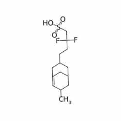 CC1C=C2CC(CCC(F)(F)CS(=O)(=O)O)CC(C2)C1